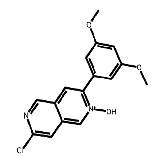 COc1cc(OC)cc(-c2cc3cnc(Cl)cc3c[n+]2O)c1